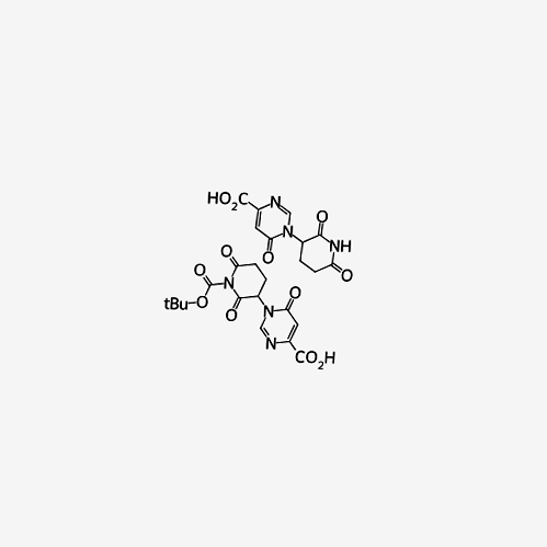 CC(C)(C)OC(=O)N1C(=O)CCC(n2cnc(C(=O)O)cc2=O)C1=O.O=C1CCC(n2cnc(C(=O)O)cc2=O)C(=O)N1